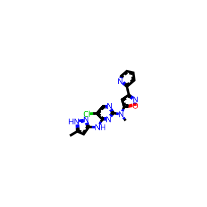 Cc1cc(Nc2nc(N(C)c3cc(-c4ccccn4)no3)ncc2Cl)n[nH]1